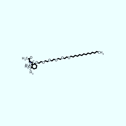 CCCCCCCCCCCCCCOCCOCCOCCOCCOCCOC1(C)CCCC(C)(C)C1(C)/C=C/C(C)=O